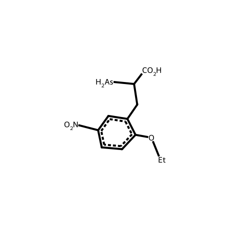 CCOc1ccc([N+](=O)[O-])cc1CC([AsH2])C(=O)O